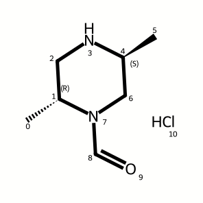 C[C@@H]1CN[C@@H](C)CN1C=O.Cl